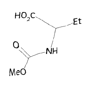 CCC(NC(=O)OC)C(=O)O